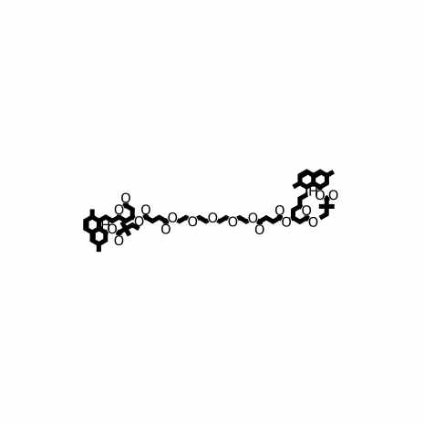 CCC(C)(C)C(=O)OC1CC(C)C=C2C=CC(C)C(CCC3CC(OC(=O)CCC(=O)OCCOCCOCCOCCOC(=O)CCC(=O)OC4CC(=O)OC(CC[C@H]5C(C)C=CC6=CC(C)CC(OC(=O)C(C)(C)CC)[C@H]65)C4)CC(=O)O3)[C@H]21